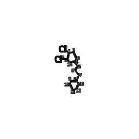 Clc1ccc(C=CCc2ccccc2)cc1Cl